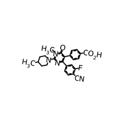 CC1CCN(c2nc(-c3ccc(C#N)c(F)c3)c(-c3ccc(C(=O)O)cc3)c(=O)n2C)CC1